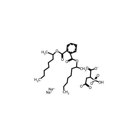 CCCCCCC(C)OC(=O)c1ccccc1C(=O)OC(C)CCCCCC.O=C([O-])CC(C(=O)[O-])S(=O)(=O)O.[Na+].[Na+]